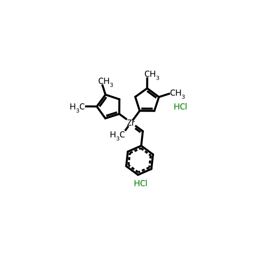 CC1=C(C)C[C]([Zr]([CH3])(=[CH]c2ccccc2)[C]2=CC(C)=C(C)C2)=C1.Cl.Cl